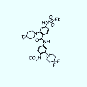 CCS(=O)(=O)Nc1ccc(C(=O)Nc2ccc(C(=O)O)c(N3CCC(F)(F)CC3)c2)c(N2CCC3(CC2)CC3)c1